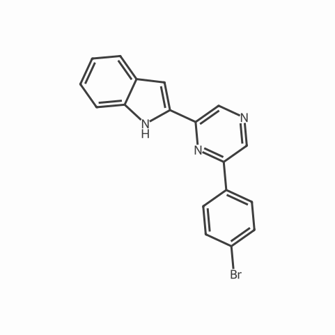 Brc1ccc(-c2cncc(-c3cc4ccccc4[nH]3)n2)cc1